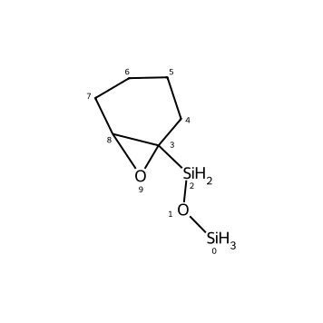 [SiH3]O[SiH2]C12CCCCC1O2